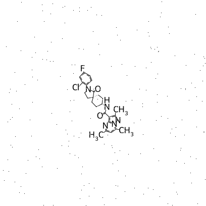 Cc1cc(C)n2nc(C)c(C(=O)N[C@H]3CC[C@@]4(CCN(c5ccc(F)cc5Cl)C4=O)CC3)c2n1